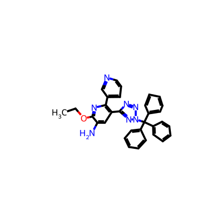 CCOc1nc(-c2cccnc2)c(-c2nnn(C(c3ccccc3)(c3ccccc3)c3ccccc3)n2)cc1N